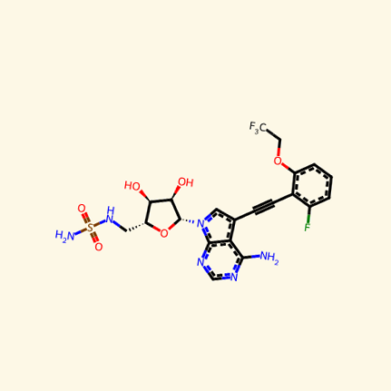 Nc1ncnc2c1c(C#Cc1c(F)cccc1OCC(F)(F)F)cn2[C@@H]1O[C@H](CNS(N)(=O)=O)[C@@H](O)[C@H]1O